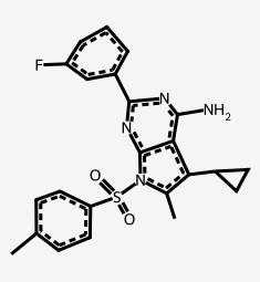 Cc1ccc(S(=O)(=O)n2c(C)c(C3CC3)c3c(N)nc(-c4cccc(F)c4)nc32)cc1